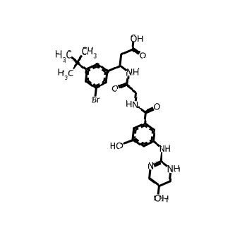 CC(C)(C)c1cc(Br)cc(C(CC(=O)O)NC(=O)CNC(=O)c2cc(O)cc(NC3=NCC(O)CN3)c2)c1